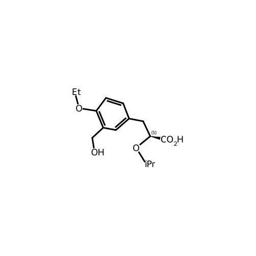 CCOc1ccc(C[C@H](OC(C)C)C(=O)O)cc1CO